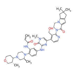 C=CC(=O)Nc1cc(Nc2nc(-c3ccnc(N4CCn5c(cc6c5CC(C)(C)C6)C4=O)c3CO)cn(C)c2=O)ccc1N1CCN(C2CCOC[C@H]2C)C[C@@H]1C